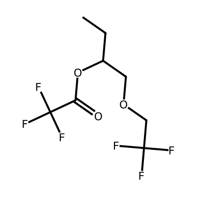 CCC(COCC(F)(F)F)OC(=O)C(F)(F)F